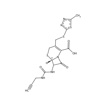 C#CCNC(=O)NC1C(=O)N2C(C(=O)O)=C(CSc3nnc(C)s3)CS[C@@H]12